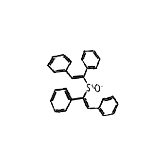 [O-][S+](C(=Cc1ccccc1)c1ccccc1)C(=Cc1ccccc1)c1ccccc1